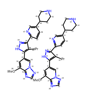 COc1cc(-c2[nH]nc(-c3ccc(C4CCNCC4)cn3)c2C(C)C)cn2ncnc12.COc1cc(-c2[nH]nc(-c3ccc(C4CCNCC4)cn3)c2C(C)C)cn2ncnc12